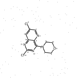 Clc1cnc2c(N3CCOCC3)nc(Cl)nc2c1